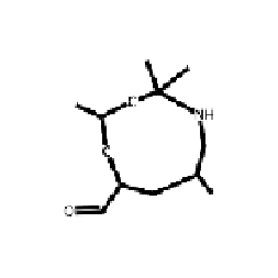 CC1CNC(C)(C)CC(C)CC(C=O)C1